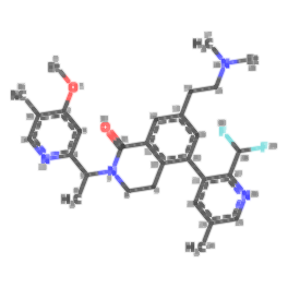 CCOc1cc(C(C)N2CCc3c(cc(CCN(C)CC)cc3-c3cc(C)cnc3C(F)F)C2=O)ncc1C#N